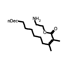 CCCCCCCCCCCCCCCCC(C)=C(C)C(=O)OCCN